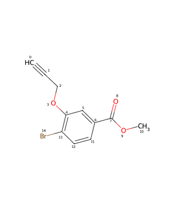 C#CCOc1cc(C(=O)OC)ccc1Br